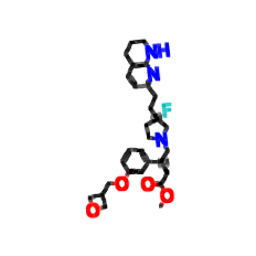 COC(=O)C[C@H](CN1CC[C@@](F)(CCc2ccc3c(n2)NCCC3)C1)c1cccc(OCC2COC2)c1